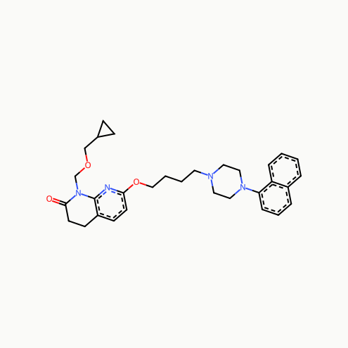 O=C1CCc2ccc(OCCCCN3CCN(c4cccc5ccccc45)CC3)nc2N1COCC1CC1